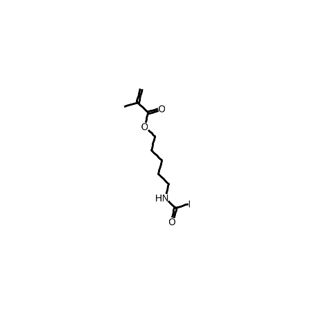 C=C(C)C(=O)OCCCCCNC(=O)I